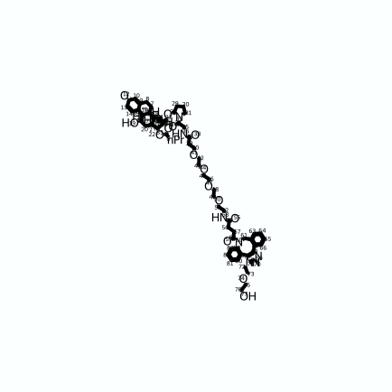 CCCC1O[C@@H]2C[C@H]3[C@@H]4CCC5=CC(=O)C=C[C@]5(C)[C@H]4[C@@H](O)C[C@]3(C)[C@]2(C(=O)COC2CCCN2C(=O)CNC(=O)CCOCCOCCOCCOCCNC(=O)CCC(=O)N2Cc3ccccc3-c3nnn(CCOCCO)c3-c3ccccc32)O1